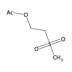 CC(=O)OC[CH]S(C)(=O)=O